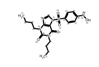 CCCCn1c(=O)c2c(ncn2S(=O)(=O)c2ccc(NO)cc2)n(CCCC)c1=O